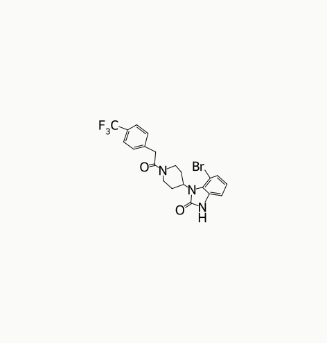 O=C(Cc1ccc(C(F)(F)F)cc1)N1CCC(n2c(=O)[nH]c3cccc(Br)c32)CC1